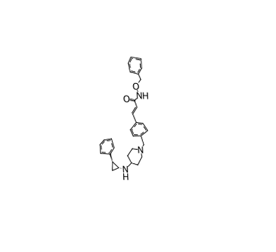 O=C(/C=C/c1ccc(CN2CCC(N[C@@H]3C[C@H]3c3ccccc3)CC2)cc1)NOCc1ccccc1